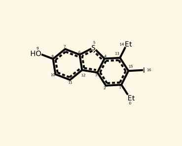 CCc1cc2c(sc3cc(O)ccc32)c(CC)c1I